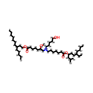 CCCCCCCC(CCCCC)CCOC(=O)CCCCC(CN(CCCCCO)CCCCCCC(=O)OC(CCC(CC)CCCC)CC(C)C)OC